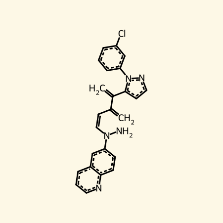 C=C(/C=C\N(N)c1ccc2ncccc2c1)C(=C)c1ccnn1-c1cccc(Cl)c1